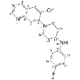 [O]c1cc2cccnc2cc1N1CCC(Nc2ccc(F)cc2)CC1